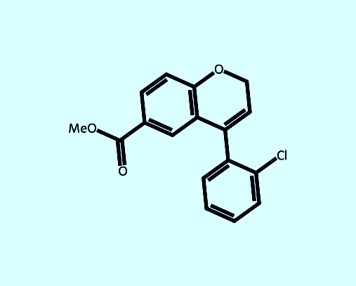 COC(=O)c1ccc2c(c1)C(c1ccccc1Cl)=CCO2